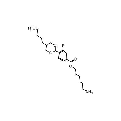 CCCCCCCOC(=O)c1ccc(C2OCC(CCCCC)CO2)c(F)c1